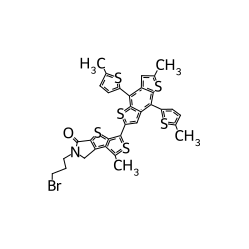 Cc1ccc(-c2c3cc(-c4sc(C)c5c6c(sc45)C(=O)N(CCCBr)C6)sc3c(-c3ccc(C)s3)c3cc(C)sc23)s1